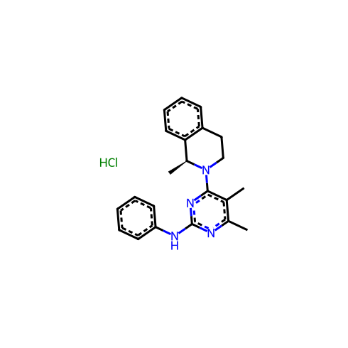 Cc1nc(Nc2ccccc2)nc(N2CCc3ccccc3[C@@H]2C)c1C.Cl